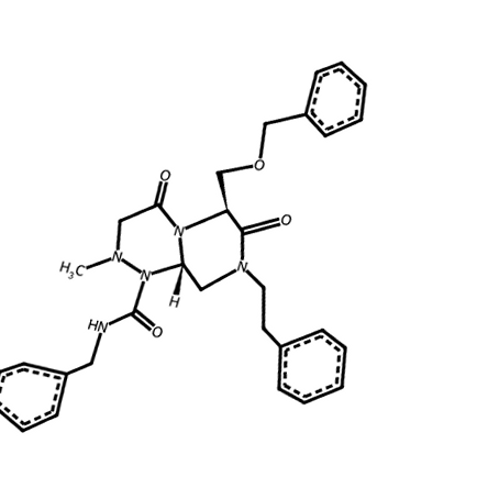 CN1CC(=O)N2[C@@H](COCc3ccccc3)C(=O)N(CCc3ccccc3)C[C@@H]2N1C(=O)NCc1ccccc1